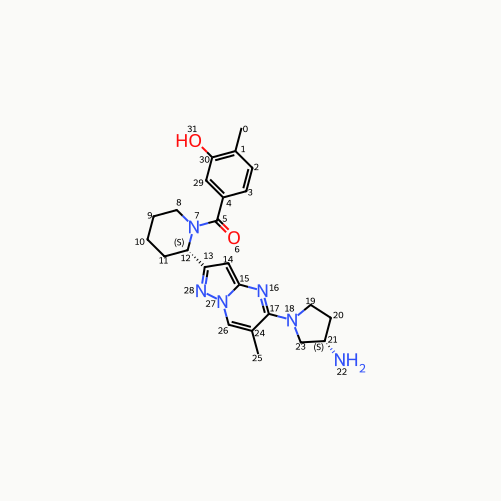 Cc1ccc(C(=O)N2CCCC[C@H]2c2cc3nc(N4CC[C@H](N)C4)c(C)cn3n2)cc1O